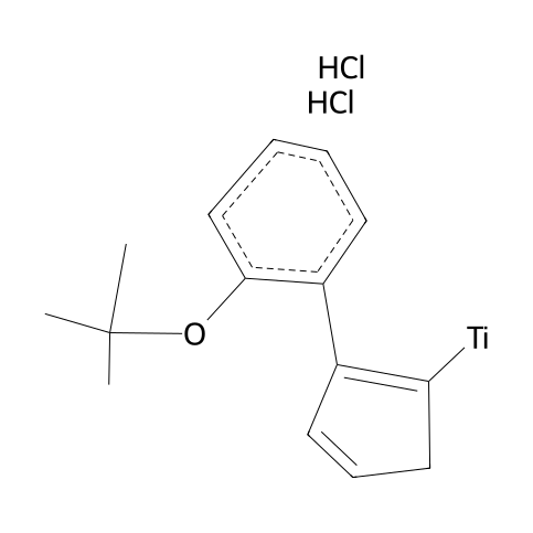 CC(C)(C)Oc1ccccc1C1=[C]([Ti])CC=C1.Cl.Cl